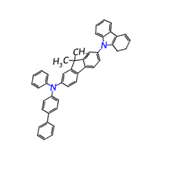 CC1(C)c2cc(N(c3ccccc3)c3ccc(-c4ccccc4)cc3)ccc2-c2ccc(-n3c4c(c5ccccc53)C=CCC4)cc21